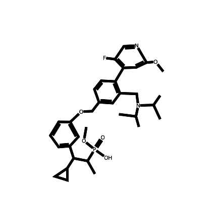 COc1cc(-c2ccc(COc3cccc(C(C4CC4)C(C)P(=O)(O)OC)c3)cc2CN(C(C)C)C(C)C)c(F)cn1